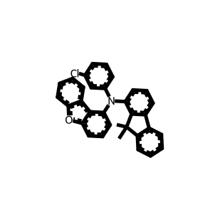 CC1(C)c2ccccc2-c2cccc(N(c3cccc(Cl)c3)c3cccc4oc5ccccc5c34)c21